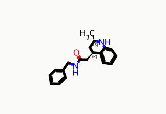 C[C@H]1C[C@H](CC(=O)NCc2ccccc2)c2ccccc2N1